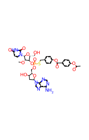 CO[C@H]1C(OP(=O)(OC[C@H]2O[C@@H](n3cnc4c(N)ncnc43)CC2O)SCc2ccc(OC(=O)c3ccc(OC(C)=O)cc3)cc2)[C@@H](CO)O[C@H]1n1ccc(=O)[nH]c1=O